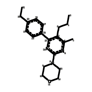 CCCc1c(C)nc(N2CCOCC2)nc1-c1ccc(CC)cc1